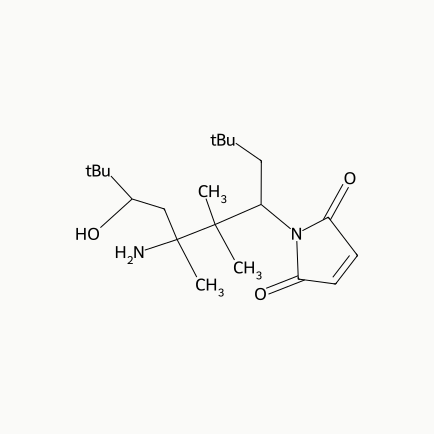 CC(C)(C)CC(N1C(=O)C=CC1=O)C(C)(C)C(C)(N)CC(O)C(C)(C)C